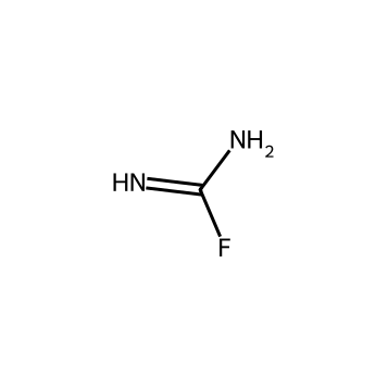 N=C(N)F